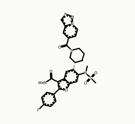 CNC(=O)c1c(-c2ccc(F)cc2)oc2cc(N(C)S(C)(=O)=O)c([C@H]3CCCN(C(=O)c4ccn5nncc5c4)C3)cc12